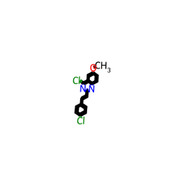 COc1ccc2nc(C=Cc3ccc(Cl)cc3)nc(Cl)c2c1